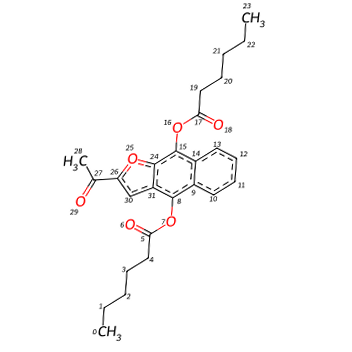 CCCCCC(=O)Oc1c2ccccc2c(OC(=O)CCCCC)c2oc(C(C)=O)cc12